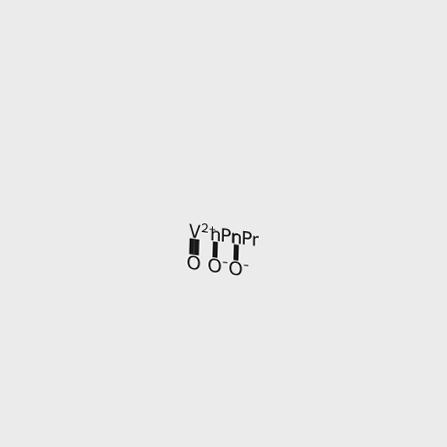 CCC[O-].CCC[O-].[O]=[V+2]